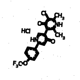 Cc1[nH]c(C)c(-c2c[nH]c(-c3ccc(OC(F)(F)F)cc3)cc2=O)c(=O)c1Cl.Cl